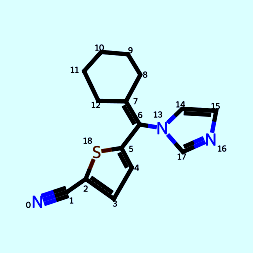 N#Cc1ccc(C(=C2CCCCC2)n2ccnc2)s1